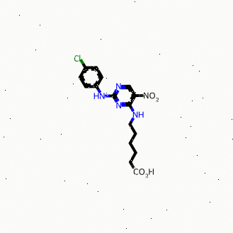 O=C(O)CCCCCNc1nc(Nc2ccc(Cl)cc2)ncc1[N+](=O)[O-]